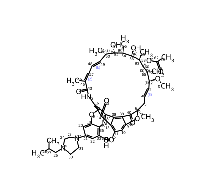 CO[C@H]1/C=C/C[C@@]2(C)Oc3cc(O)c4c(=O)c(c5oc6cc(N7CCN(CC(C)C)CC7)cc(O)c6nc-5c4c3C2=O)NC(=O)/C(C)=C\C=C\[C@H](C)[C@H](O)[C@@H](C)[C@@H](O)[C@@H](C)[C@H](OC(C)=O)[C@@H]1C